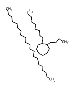 [CH2]CCCC1CCCCCCC1CCCCCCCCC.[CH2]CCCCCCCCCCCCCCCCCCCC